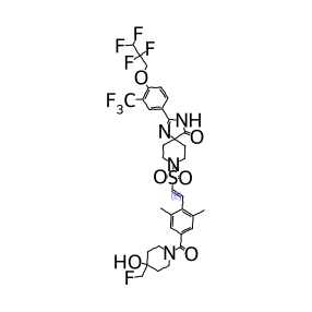 Cc1cc(C(=O)N2CCC(O)(CF)CC2)cc(C)c1/C=C/S(=O)(=O)N1CCC2(CC1)N=C(c1ccc(OCC(F)(F)C(F)F)c(C(F)(F)F)c1)NC2=O